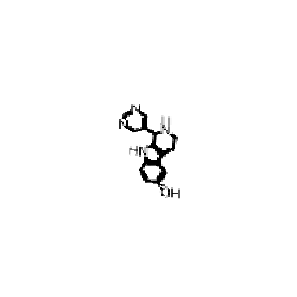 Oc1ccc2[nH]c3c(c2c1)CCNC3c1cncnc1